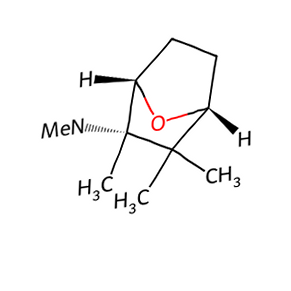 CN[C@]1(C)[C@@H]2CC[C@@H](O2)C1(C)C